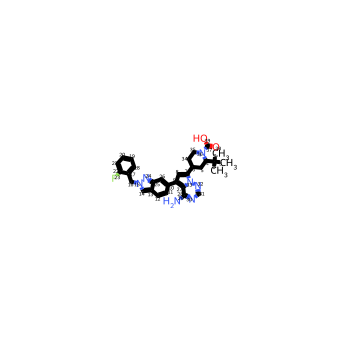 CC(C)(C)C1CC(c2cc(-c3ccc4cn(Cc5ccccc5F)nc4c3)c3c(N)ncnn23)CCN1C(=O)O